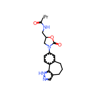 CC(C)C(=O)NCC1CN(c2ccc3c(c2)CCCc2cn[nH]c2-3)C(=O)O1